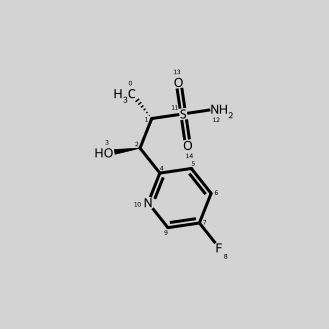 C[C@@H]([C@H](O)c1ccc(F)cn1)S(N)(=O)=O